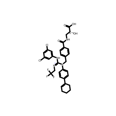 O=C(NC[C@@H](O)C(=O)O)c1ccc(CN(/C(=N\CC(F)(F)F)Nc2cc(Cl)cc(Cl)c2)c2ccc(C3=CCCCC3)cc2)cc1